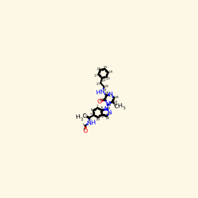 C=C(NC=O)c1ccc2c(cnn2-n2c(C)cnc(NCCc3ccccc3)c2=O)c1